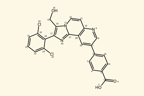 O=C(O)c1ccc(-c2cnc3ccn4c(CO)c(-c5c(Cl)cccc5Cl)nc4c3c2)cc1